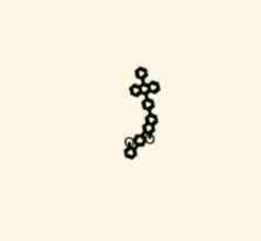 c1ccc(-c2c3ccccc3c(-c3ccc(-c4ccc5cc6oc7cc8c(cc7c6cc5c4)oc4ccccc48)cc3)c3ccccc23)cc1